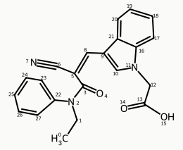 CCN(C(=O)C(C#N)=Cc1cn(CC(=O)O)c2ccccc12)c1ccccc1